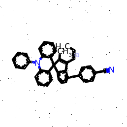 C/C=C\C1=C(C)C2(c3ccccc3N(c3ccccc3)c3ccccc32)c2cccc(-c3ccc(C#N)cc3)c21